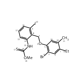 CCc1cc(Br)c(OCc2c(I)cccc2NC(=S)OC)cc1C